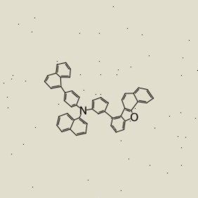 c1cc(-c2cccc3oc4c5ccccc5ccc4c23)cc(N(c2ccc(-c3cccc4ccccc34)cc2)c2cccc3ccccc23)c1